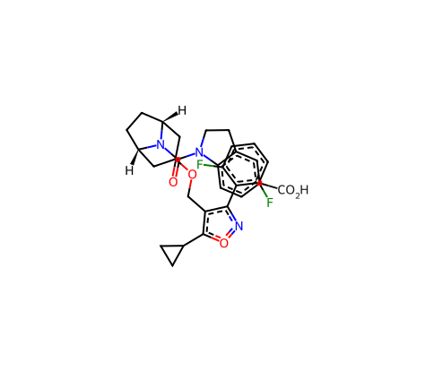 O=C(O)c1ccc2c(c1)CCN2C(=O)N1[C@@H]2CC[C@H]1CC(OCc1c(-c3c(F)cccc3F)noc1C1CC1)C2